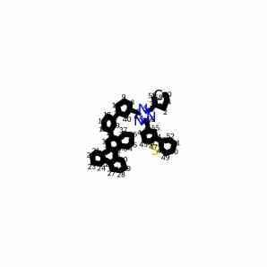 c1ccc(-c2nc(-c3cccc(-c4cccc(-c5cc6c7ccccc7c7ccccc7c6c6ccccc56)c4)c3)nc(-c3ccc4sc5ccccc5c4c3)n2)cc1